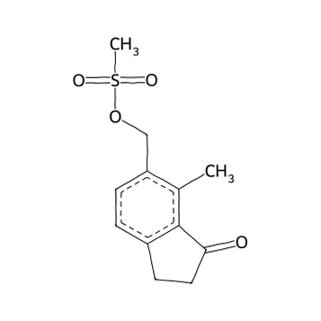 Cc1c(COS(C)(=O)=O)ccc2c1C(=O)CC2